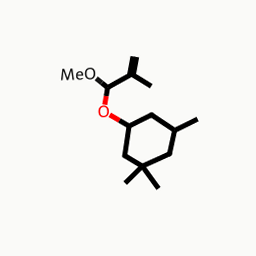 C=C(C)C(OC)OC1CC(C)CC(C)(C)C1